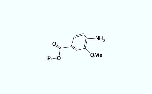 COc1cc(C(=O)OC(C)C)ccc1N